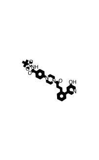 CC(C)(C)S(=O)(=O)NC(=O)c1ccc(N2CCN(C(=O)CCc3ccccc3-c3cncc(O)c3)CC2)cc1